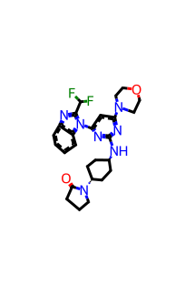 O=C1CCCN1[C@H]1CC[C@H](Nc2nc(N3CCOCC3)cc(-n3c(C(F)F)nc4ccccc43)n2)CC1